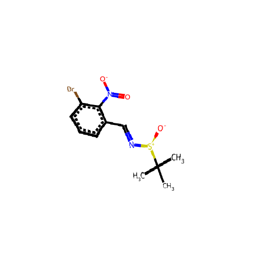 CC(C)(C)[S@+]([O-])N=Cc1cccc(Br)c1[N+](=O)[O-]